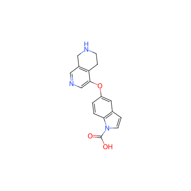 O=C(O)n1ccc2cc(Oc3cncc4c3CCNC4)ccc21